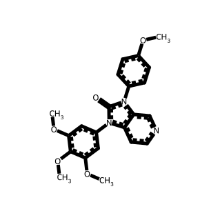 COc1ccc(-n2c(=O)n(-c3cc(OC)c(OC)c(OC)c3)c3ccncc32)cc1